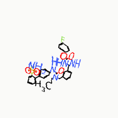 CCCN(Cc1cccc(C(=N)NC(=O)Oc2ccc(F)cc2)c1)C(=O)Nc1ccc(-c2ccccc2S(N)(=O)=O)cc1